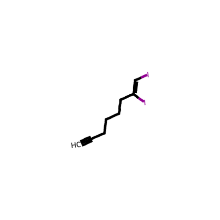 C#CCCCC/C(I)=C/I